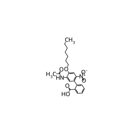 CCCCCCCOc1cc([N+](=O)[O-])c(-c2ccccc2C(=O)O)cc1NC(C)=O